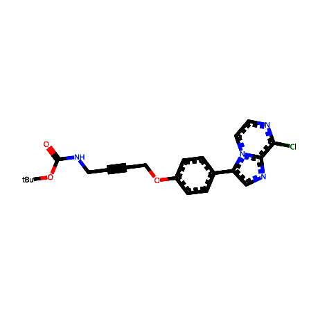 CC(C)(C)OC(=O)NCC#CCOc1ccc(-c2cnc3c(Cl)nccn23)cc1